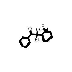 CCC(C(=O)O)(C(=O)c1ccccc1)c1ccccc1F